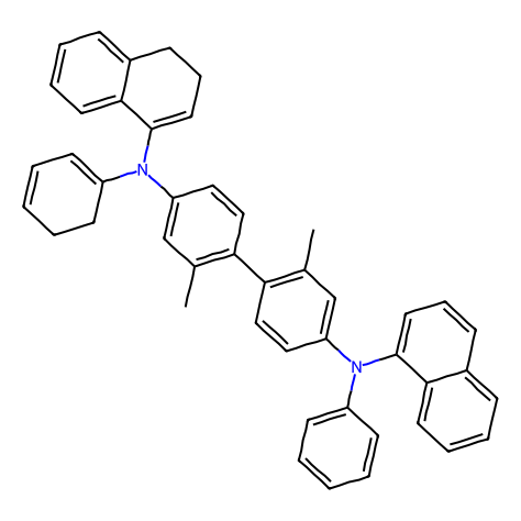 Cc1cc(N(C2=CC=CCC2)C2=CCCc3ccccc32)ccc1-c1ccc(N(c2ccccc2)c2cccc3ccccc23)cc1C